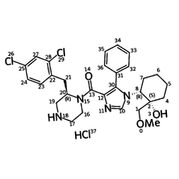 COC[C@]1(O)CCCC[C@H]1n1cnc(C(=O)N2CCNC[C@H]2Cc2ccc(Cl)cc2Cl)c1-c1ccccc1.Cl